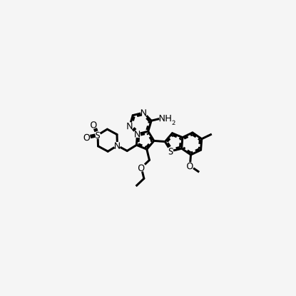 CCOCc1c(-c2cc3cc(C)cc(OC)c3s2)c2c(N)ncnn2c1CN1CCS(=O)(=O)CC1